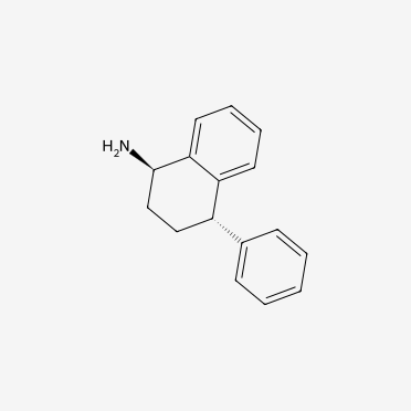 N[C@@H]1CC[C@@H](c2ccccc2)c2ccccc21